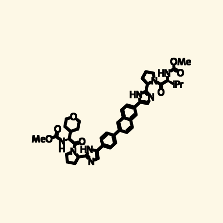 COC(=O)N[C@H](C(=O)N1CCCC1c1ncc(-c2ccc3cc(-c4ccc(-c5cnc(C6CCCN6C(=O)[C@H](NC(=O)OC)C6CCOCC6)[nH]5)cc4)ccc3c2)[nH]1)C(C)C